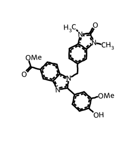 COC(=O)c1ccc2c(c1)nc(-c1ccc(O)c(OC)c1)n2Cc1ccc2c(c1)n(C)c(=O)n2C